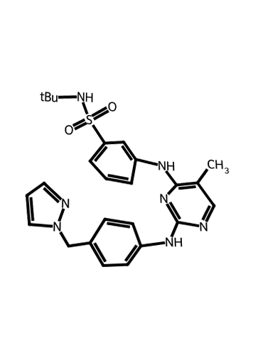 Cc1cnc(Nc2ccc(Cn3cccn3)cc2)nc1Nc1cccc(S(=O)(=O)NC(C)(C)C)c1